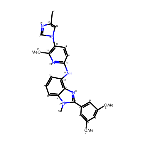 COc1cc(OC)cc(-c2nc3c(Nc4ccc(-n5cnc(C)c5)c(OC)n4)cccc3n2C)c1